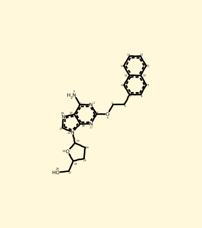 Nc1nc(OCCc2ccc3ccccc3c2)nc2c1ncn2C1CCC(CO)O1